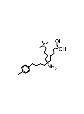 Cc1ccc(CCCCC(N)(CCCCB(O)O)CCCC[Si](C)(C)C)cc1